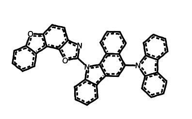 c1ccc2c(c1)oc1ccc3nc(-n4c5ccccc5c5cc(-n6c7ccccc7c7ccccc76)c6ccccc6c54)oc3c12